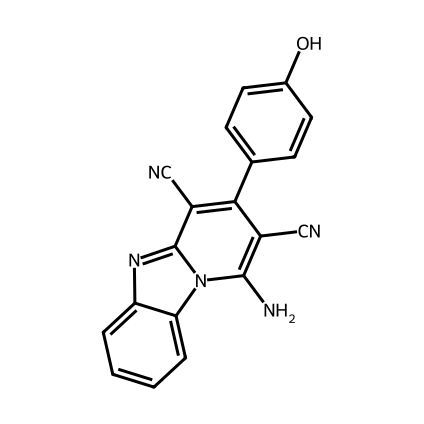 N#Cc1c(-c2ccc(O)cc2)c(C#N)c2nc3ccccc3n2c1N